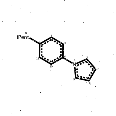 CCCC(C)c1ccc(-n2cccc2)cc1